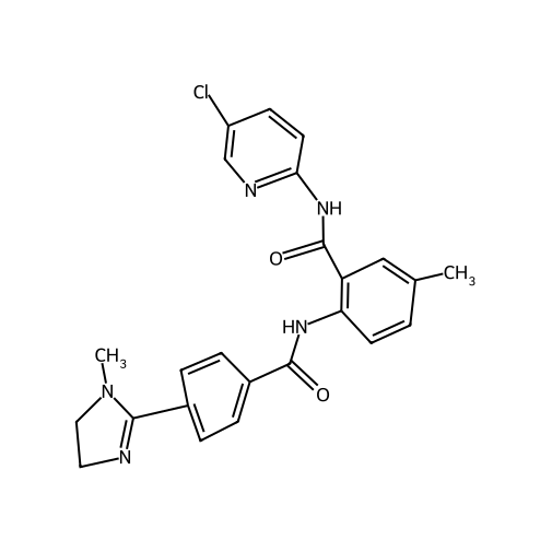 Cc1ccc(NC(=O)c2ccc(C3=NCCN3C)cc2)c(C(=O)Nc2ccc(Cl)cn2)c1